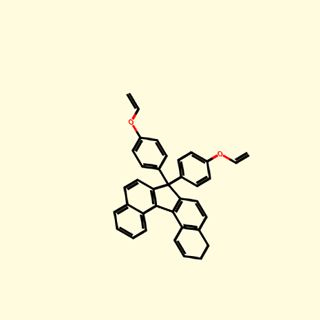 C=COc1ccc(C2(c3ccc(OC=C)cc3)c3ccc4c(c3-c3c2ccc2ccccc32)C=CCC4)cc1